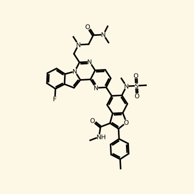 CNC(=O)c1c(-c2ccc(C)cc2)oc2cc(N(C)S(C)(=O)=O)c(-c3ccc4nc(CN(C)CC(=O)N(C)C)n5c6cccc(F)c6cc5c4n3)cc12